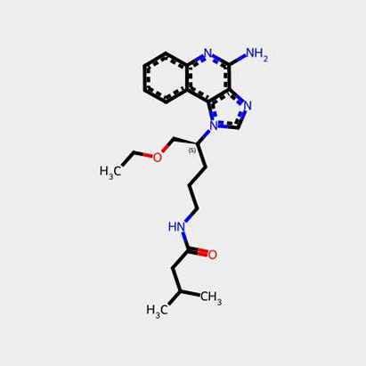 CCOC[C@H](CCCNC(=O)CC(C)C)n1cnc2c(N)nc3ccccc3c21